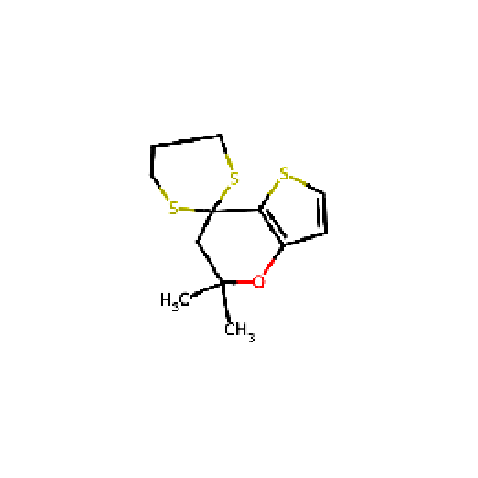 CC1(C)CC2(SCCCS2)c2sccc2O1